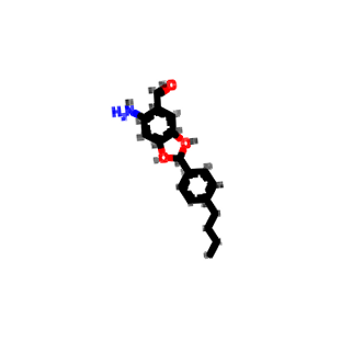 CCCCc1ccc(C2Oc3cc(N)c(C=O)cc3O2)cc1